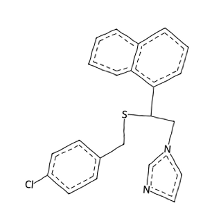 Clc1ccc(CSC(Cn2ccnc2)c2cccc3ccccc23)cc1